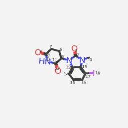 Cn1c(=O)n(C2CCC(=O)NC2=O)c2cccc(I)c21